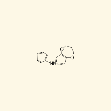 c1ccc(Nc2ccc3c(c2)OCCCO3)cc1